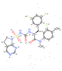 Cc1ccc(N(C)C(=O)[C@H](Cc2cc(F)cc(F)c2)NC(=O)NS(=O)(=O)N2CCc3cncnc32)cc1F